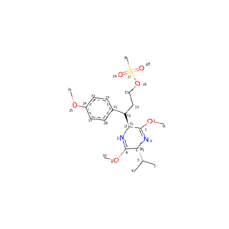 COC1=N[C@H](C(C)C)C(OC)=N[C@H]1C(CCOS(C)(=O)=O)c1ccc(OC)cc1